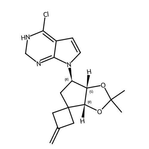 C=C1CC2(C1)C[C@@H](n1ccc3c1=NCNC=3Cl)[C@@H]1OC(C)(C)O[C@@H]12